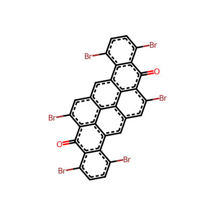 O=c1c2c(Br)ccc(Br)c2c2cc3cc(Br)c4c(=O)c5c(Br)ccc(Br)c5c5cc6cc(Br)c1c2c6c3c45